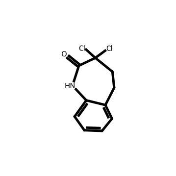 O=C1Nc2ccccc2CCC1(Cl)Cl